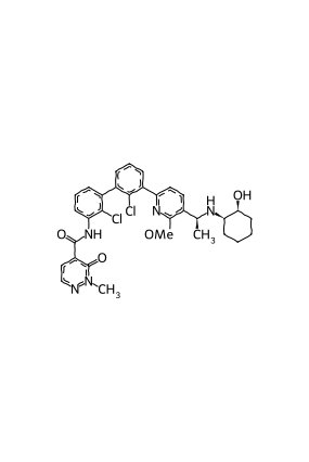 COc1nc(-c2cccc(-c3cccc(NC(=O)c4ccnn(C)c4=O)c3Cl)c2Cl)ccc1[C@H](C)N[C@@H]1CCCC[C@@H]1O